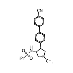 CC(C)S(=O)(=O)N[C@H]1CN(C)C[C@@H]1c1ccc(-c2ccc(C#N)cc2)cc1